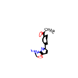 COC(=O)c1cccc(-c2ccc3c(n2)NCCO3)c1